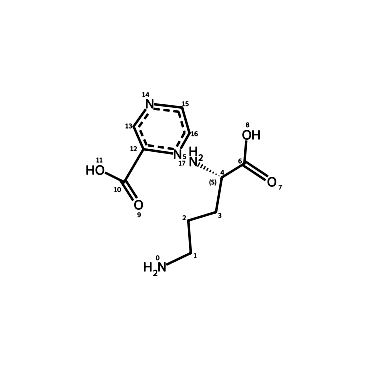 NCCC[C@H](N)C(=O)O.O=C(O)c1cnccn1